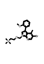 COc1ccccc1-c1cn(COCC[Si](C)(C)C)c2ncc(Br)c(C)c12